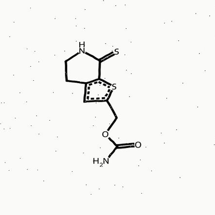 NC(=O)OCc1cc2c(s1)C(=S)NCC2